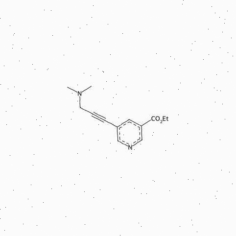 CCOC(=O)c1cncc(C#CCN(C)C)c1